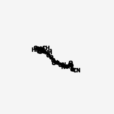 Cc1nn(C2CCC(=O)NC2=O)c(=O)c2ccc(NCCOCCOCCOCC(=O)N3CCC(COc4cnc(-c5cccc(Cn6nc(-c7cccc(C#N)c7)ccc6=O)c5)nc4)CC3)cc12